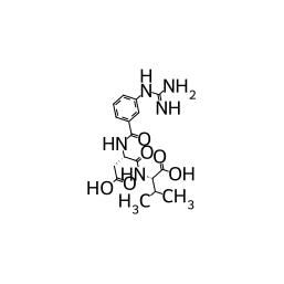 CC(C)[C@H](NC(=O)[C@H](CC(=O)O)NC(=O)c1cccc(NC(=N)N)c1)C(=O)O